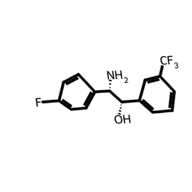 N[C@@H](c1ccc(F)cc1)[C@@H](O)c1cccc(C(F)(F)F)c1